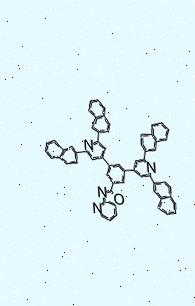 c1ccc2cc(-c3cc(-c4cc(-c5cc(-c6ccc7ccccc7c6)nc(-c6ccc7ccccc7c6)c5)cc(-c5nc6ncccc6o5)c4)cc(-c4ccc5ccccc5c4)n3)ccc2c1